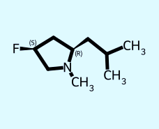 CC(C)C[C@@H]1C[C@H](F)CN1C